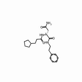 NC(=O)C[C@@H](NC(=O)CCC1CCCC1)C(=O)NCCc1ccccc1